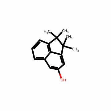 CC1(C)c2cccc3cc(O)cc(c23)C1(C)C